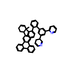 CC1(c2ccccc2-c2ccccc2-c2cc(-c3ccccn3)cc(C3C=NC=CC3)c2)C=CCCC1c1ccc2c3ccccc3c3ccccc3c2c1